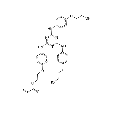 C=C(C)C(=O)OCCOc1ccc(Nc2nc(Nc3ccc(OCCO)cc3)nc(Nc3ccc(OCCO)cc3)n2)cc1